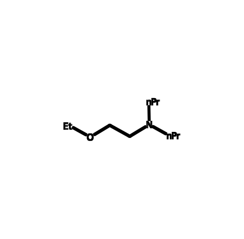 CCCN(CCC)CCOCC